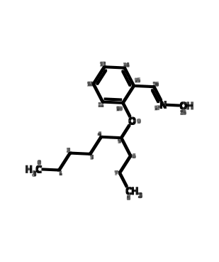 CCCCCC(CCC)Oc1ccccc1C=NO